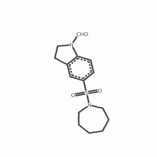 O=CN1CCc2cc(S(=O)(=O)N3CCCCCC3)ccc21